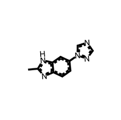 Cc1nc2ccc(-n3cncn3)cc2[nH]1